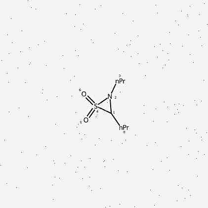 CCCC1N(CCC)S1(=O)=O